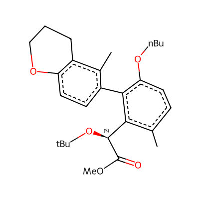 CCCCOc1ccc(C)c([C@H](OC(C)(C)C)C(=O)OC)c1-c1ccc2c(c1C)CCCO2